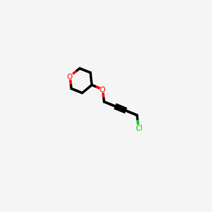 ClCC#CCOC1CCOCC1